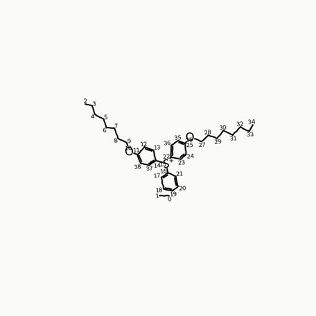 CC.CCCCCCCCOc1ccc([S+](c2ccccc2)c2ccc(OCCCCCCCC)cc2)cc1